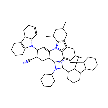 CC1=CC(C)Cc2c3c(n(C4=CC(N5C6=C(CCCC6)C6CCC=CC65)C(C#N)CC4C4NC(C5CCCC6C7CCCCC7C(C)(C)C65)N4C4CCCCC4)c21)C(C)CC(C)C3